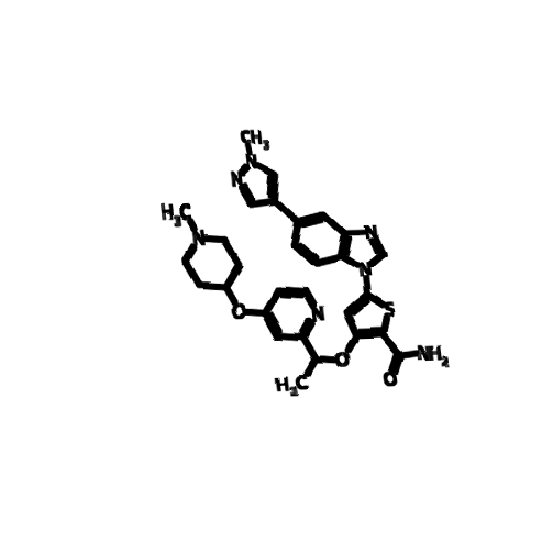 CC(Oc1cc(-n2cnc3cc(-c4cnn(C)c4)ccc32)sc1C(N)=O)c1cc(OC2CCN(C)CC2)ccn1